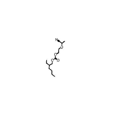 CCCCC(CC)COC(=O)OCCOC(C)C#N